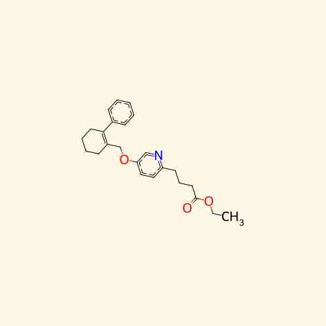 CCOC(=O)CCCc1ccc(OCC2=C(c3ccccc3)CCCC2)cn1